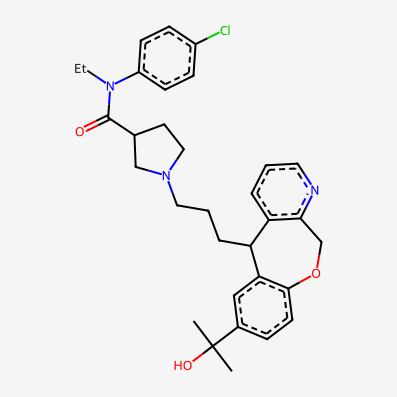 CCN(C(=O)C1CCN(CCCC2c3cc(C(C)(C)O)ccc3OCc3ncccc32)C1)c1ccc(Cl)cc1